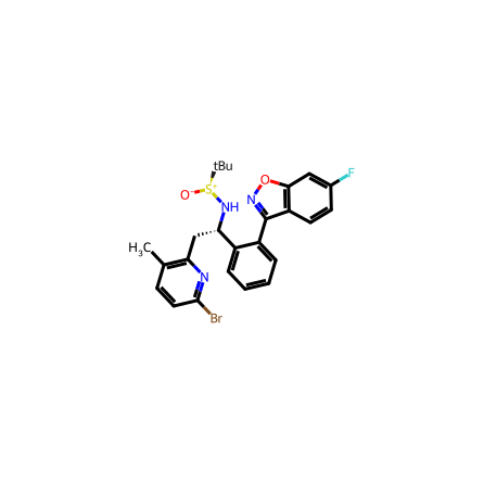 Cc1ccc(Br)nc1C[C@H](N[S@@+]([O-])C(C)(C)C)c1ccccc1-c1noc2cc(F)ccc12